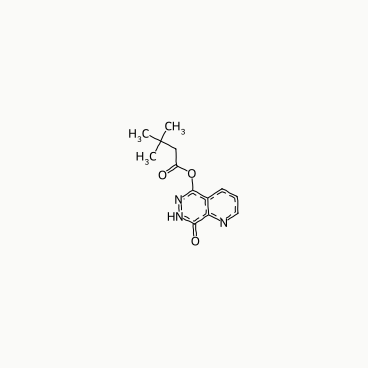 CC(C)(C)CC(=O)Oc1n[nH]c(=O)c2ncccc12